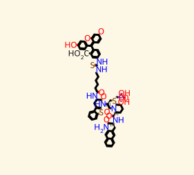 NC(=O)[C@H](Cc1ccc2ccccc2c1)NC(=O)[C@@H]1CCCCN1C(=O)[C@H](CSCP(=O)(O)O)NC(=O)C(Cc1csc2ccccc12)NC(=O)CCCCCNC(=S)Nc1ccc(-c2c3ccc(=O)cc-3oc3cc(O)ccc23)c(C(=O)O)c1